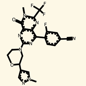 Cn1cc(C2CN(c3nc(-c4ccc(C#N)cc4F)c4nc(C(F)(F)F)n(C)c(=O)c4n3)CCO2)cn1